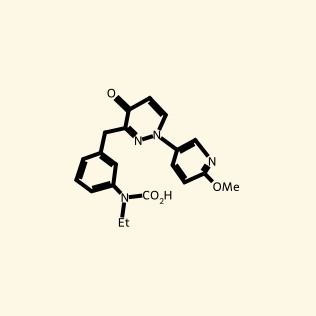 CCN(C(=O)O)c1cccc(Cc2nn(-c3ccc(OC)nc3)ccc2=O)c1